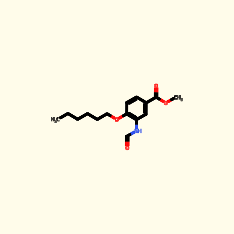 CCCCCCOc1ccc(C(=O)OC)cc1NC=O